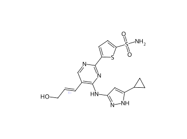 NS(=O)(=O)c1ccc(-c2ncc(/C=C/CO)c(Nc3cc(C4CC4)[nH]n3)n2)s1